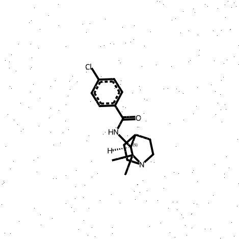 CC1(C)[C@@H](NC(=O)c2ccc(Cl)cc2)C2CCN1CC2